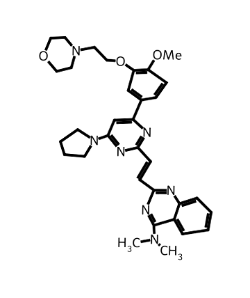 COc1ccc(-c2cc(N3CCCC3)nc(C=Cc3nc(N(C)C)c4ccccc4n3)n2)cc1OCCN1CCOCC1